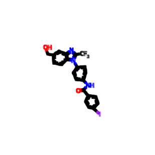 O=C(Nc1ccc(-n2c(C(F)(F)F)nc3cc(CO)ccc32)cc1)c1ccc(I)cc1